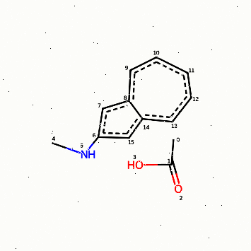 CC(=O)O.CNc1cc2cccccc-2c1